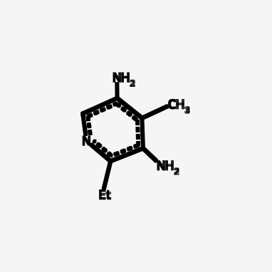 CCc1ncc(N)c(C)c1N